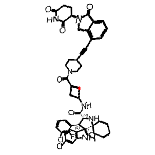 O=C1CCC(N2Cc3c(C#CC4CCN(C(=O)C56CC(NC(=O)[C@@H]7NC8(CCCCC8)[C@@]8(C(=O)Nc9cc(Cl)ccc98)[C@H]7c7cccc(Cl)c7F)(C5)C6)CC4)cccc3C2=O)C(=O)N1